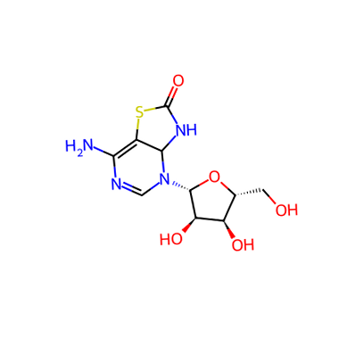 NC1=C2SC(=O)NC2N([C@@H]2O[C@H](CO)[C@@H](O)[C@H]2O)C=N1